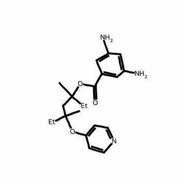 CCC(C)(CC(C)(CC)Oc1ccncc1)OC(=O)c1cc(N)cc(N)c1